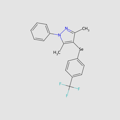 Cc1nn(-c2ccccc2)c(C)c1[Se]c1ccc(C(F)(F)F)cc1